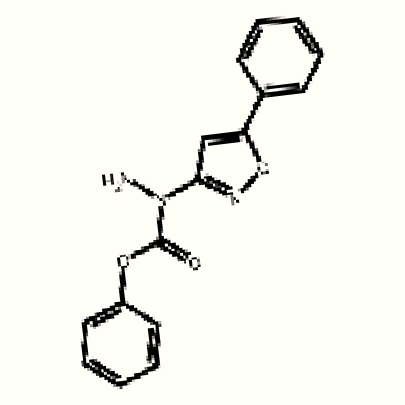 NN(C(=O)Oc1ccccc1)c1cc(-c2ccccc2)on1